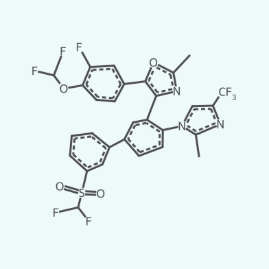 Cc1nc(-c2cc(-c3cccc(S(=O)(=O)C(F)F)c3)ccc2-n2cc(C(F)(F)F)nc2C)c(-c2ccc(OC(F)F)c(F)c2)o1